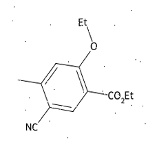 CCOC(=O)c1cc(C#N)c(C)cc1OCC